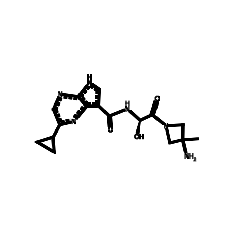 CC1(N)CN(C(=O)[C@@H](O)NC(=O)c2c[nH]c3ncc(C4CC4)nc23)C1